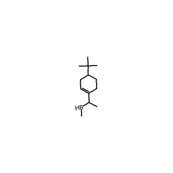 CBC(C)C1=CCC(C(C)(C)C)CC1